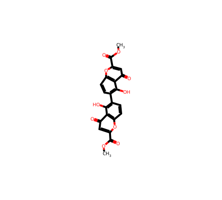 COC(=O)c1cc(=O)c2c(O)c(-c3ccc4oc(C(=O)OC)cc(=O)c4c3O)ccc2o1